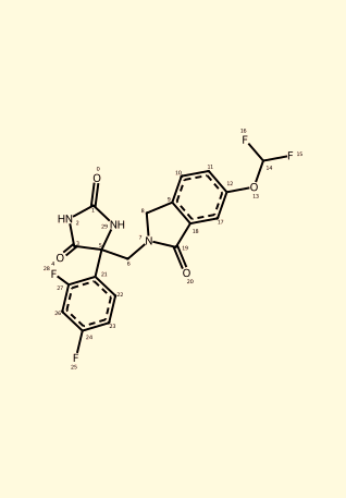 O=C1NC(=O)C(CN2Cc3ccc(OC(F)F)cc3C2=O)(c2ccc(F)cc2F)N1